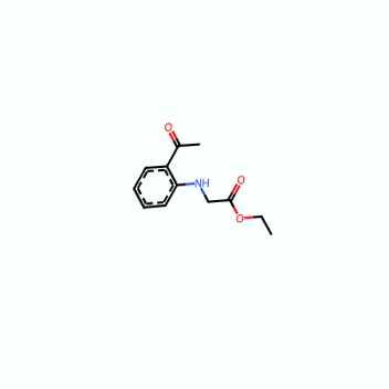 CCOC(=O)CNc1ccccc1C(C)=O